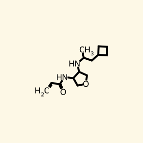 C=CC(=O)NC1COCC1NC(C)CC1CCC1